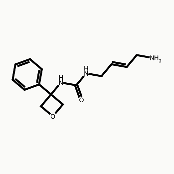 NCC=CCNC(=O)NC1(c2ccccc2)COC1